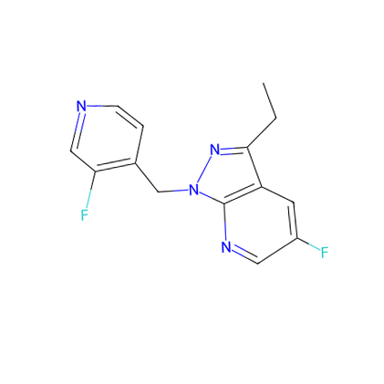 CCc1nn(Cc2ccncc2F)c2ncc(F)cc12